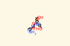 CC1(CO)Cc2cc(NC(=O)c3coc(-c4ccnc(N)c4)n3)c(N3CCC(CO)CC3)cc2O1